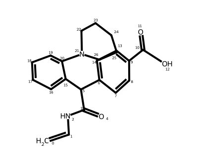 C=CNC(=O)C(c1ccc(C(=O)O)cc1)c1ccccc1N1CCCCC1